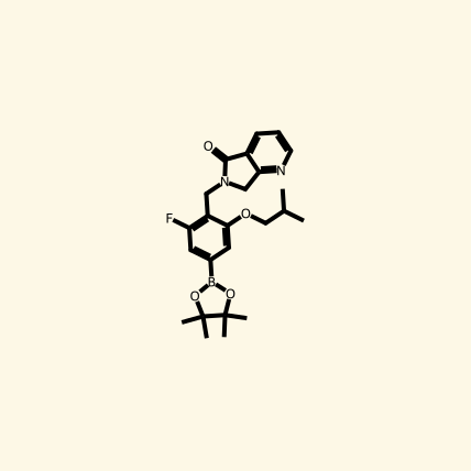 CC(C)COc1cc(B2OC(C)(C)C(C)(C)O2)cc(F)c1CN1Cc2ncccc2C1=O